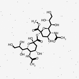 COC(=O)[C@]1(OC(=O)[C@]2(O)C[C@H](O)[C@@H](NC(C)=O)[C@H]([C@H](O)[C@H](O)CO)O2)C[C@H](O)[C@@H](NC(C)=O)[C@H]([C@H](O)[C@H](O)CO)O1